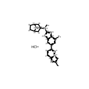 Cc1cn2nc(-c3cc(F)c4nc(N(C)C5CC6CCC(C5)N6)sc4c3)ccc2n1.Cl